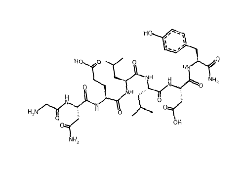 CC(C)C[C@H](NC(=O)[C@H](CC(C)C)NC(=O)[C@H](CCC(=O)O)NC(=O)[C@H](CC(N)=O)NC(=O)CN)C(=O)N[C@@H](CC(=O)O)C(=O)N[C@@H](Cc1ccc(O)cc1)C(N)=O